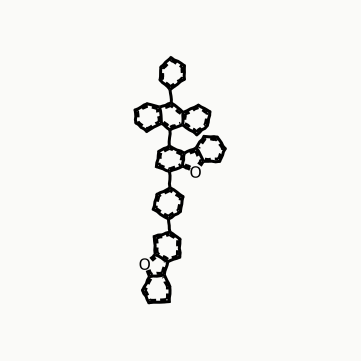 c1ccc(-c2c3ccccc3c(-c3ccc(-c4ccc(-c5ccc6c(c5)oc5ccccc56)cc4)c4oc5ccccc5c34)c3ccccc23)cc1